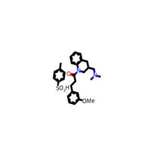 COc1cccc(CCC(=O)N2CC(CN(C)C)Cc3ccccc32)c1.Cc1ccc(S(=O)(=O)O)cc1